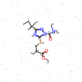 CCC(C)(C)c1nc(SCC(C)C(=O)OC)n(C(=O)N(C)C)n1